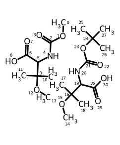 COC(=O)NC(C(=O)O)C(C)(C)OC.COC(C)(C)C(NC(=O)OC(C)(C)C)C(=O)O